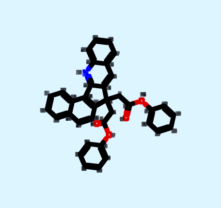 O=C(CC1(CC(=O)Oc2ccccc2)c2cc3ccccc3nc2-c2c1ccc1ccccc21)Oc1ccccc1